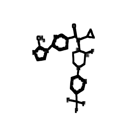 Cc1nccn1-c1ccc(C(=O)N(C2CC2)[C@@H]2CCN(c3ccc(C(F)(F)F)cn3)C[C@@H]2F)cn1